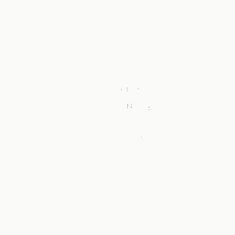 CC(=O)c1ccccc1N(C=O)C(C)=O